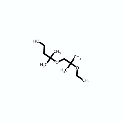 CCOC(C)(C)COC(C)(C)CCO